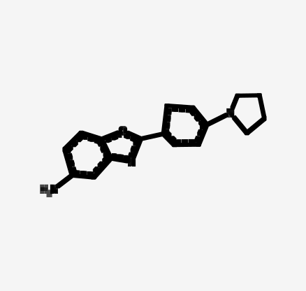 Nc1ccc2oc(-c3ccc(N4CCCC4)cc3)nc2c1